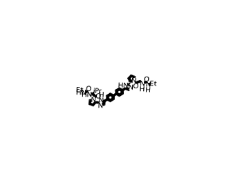 CCNC(=O)NCC(=O)N1CCC[C@H]1c1ncc(-c2ccc(-c3ccc(-c4cnc(C5CCCN5C(=O)[C@@H](NC(=O)NCC)C(C)C)[nH]4)cc3)cc2)[nH]1